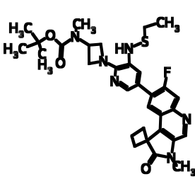 CCSNc1cc(-c2cc3c4c(cnc3cc2F)N(C)C(=O)C42CCC2)cnc1N1CC(N(C)C(=O)OC(C)(C)C)C1